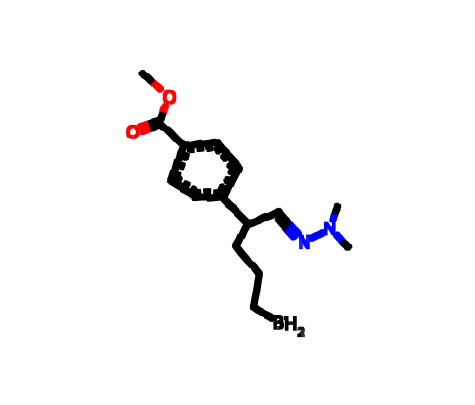 BCCCC(/C=N/N(C)C)c1ccc(C(=O)OC)cc1